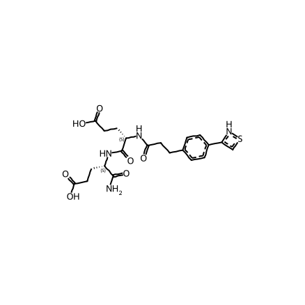 NC(=O)[C@H](CCC(=O)O)NC(=O)[C@H](CCC(=O)O)NC(=O)CCc1ccc(-c2cs[nH]2)cc1